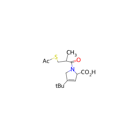 CC(=O)SCC(C)C(=O)N1CC(C(C)(C)C)=CC1C(=O)O